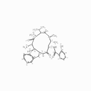 CC(C)C1C(=O)N(C)[C@H](C)[C@H](NC(=O)c2ncccc2O)C(=O)N[C@@H](Cc2cccnc2)[C@@H](O)[C@@H](C)C(=O)N1C